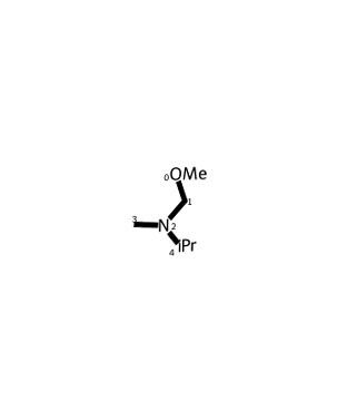 COCN(C)C(C)C